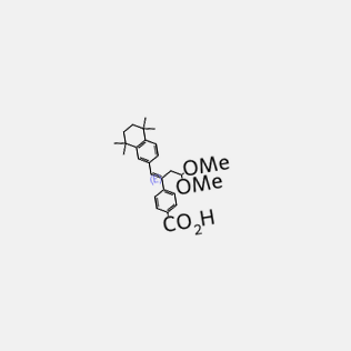 COC(C/C(=C\c1ccc2c(c1)C(C)(C)CCC2(C)C)c1ccc(C(=O)O)cc1)OC